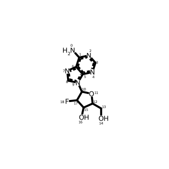 Nc1ncnc2c1ncn2C1OC(CO)C(O)C1F